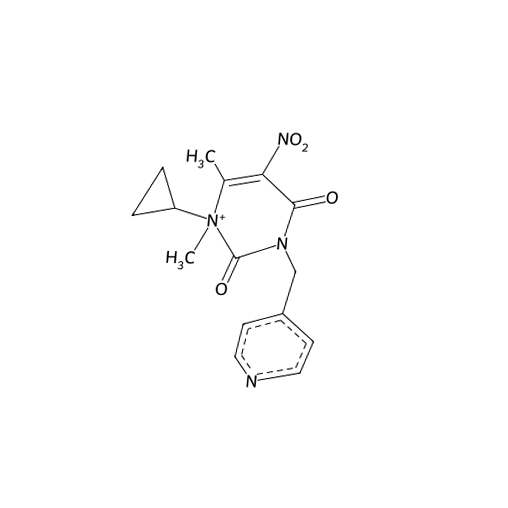 CC1=C([N+](=O)[O-])C(=O)N(Cc2ccncc2)C(=O)[N+]1(C)C1CC1